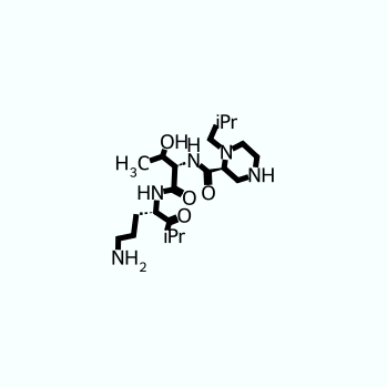 CC(C)CN1CCNC[C@H]1C(=O)N[C@H](C(=O)N[C@@H](CCCN)C(=O)C(C)C)C(C)O